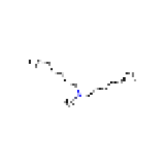 C=CCCCCN(C)CCCCC=C